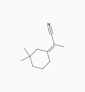 C/C(C#N)=C1\CCCC(C)(C)C1